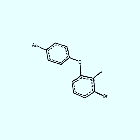 CC(=O)c1ccc(Oc2cccc(Br)c2C)cc1